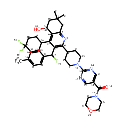 CC1(C)Cc2nc(C3CCN(c4ncc(C(=O)N5CCOCC5)cn4)CC3)c(C(F)c3ccc(C(F)(F)F)cc3)c(C3CCC(F)(F)CC3)c2[C@@H](O)C1